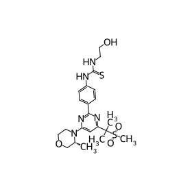 C[C@H]1COCCN1c1cc(C(C)(C)S(C)(=O)=O)nc(-c2ccc(NC(=S)NCCO)cc2)n1